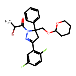 CC(Br)C(=O)N1N=C(c2cc(F)ccc2F)CC1(COC1CCCCO1)c1ccccc1